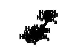 C=C(C)[C@@H](O)[C@@H](OC)C(=O)[C@H](C)C[C@H](C)/C=C/C=C/C=C(\C)[C@@H](O)C[C@@H]1CC[C@@H](C)[C@](O)(C(=O)C(=O)N2CCCC[C@H]2C(=O)O[C@@H](CC(=O)C(C)C)[C@H](C)C[C@@H]2CC[C@@H](O)[C@H](OC)C2)O1